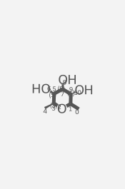 CC1O[C@@H](C)[C@@H](O)[C@@H](O)[C@@H]1O